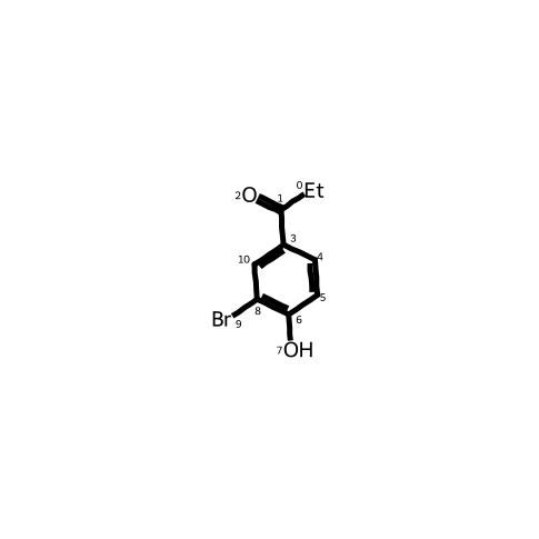 CCC(=O)c1ccc(O)c(Br)c1